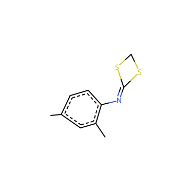 Cc1ccc(N=C2SCS2)c(C)c1